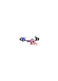 O=C(N[C@@H](CC(=O)N1CC(CCc2ccc3c(n2)NCCC3)C1)C(=O)O)OCc1cccc(F)c1